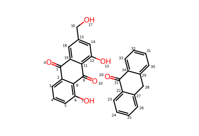 O=C1c2cccc(O)c2C(=O)c2c(O)cc(CO)cc21.O=C1c2ccccc2Cc2ccccc21